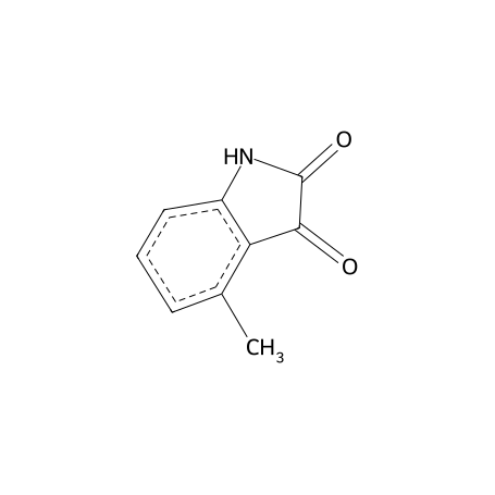 Cc1cccc2c1C(=O)C(=O)N2